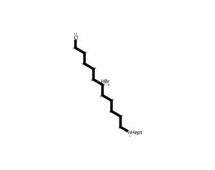 Br.CCCCCCCCCCCCCCCCCCCl